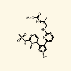 COC(=O)N[C@@H](C)CNc1nccc(-c2cn(C(C)C)nc2C2C=CN=C(NS(C)(=O)=O)N2F)n1